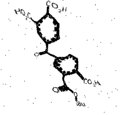 CCC(C)OC(=O)c1cc(C(=O)c2ccc(C(=O)O)c(C(=O)O)c2)ccc1C(=O)O